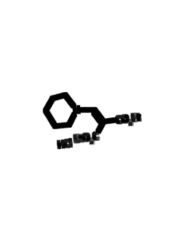 CCOC(=O)C(=CN1CCCCC1)C(=O)OCC.Cl